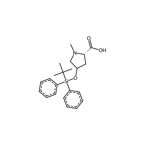 CN1CC(O[Si](c2ccccc2)(c2ccccc2)C(C)(C)C)C[C@H]1C(=O)O